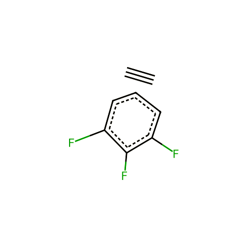 C#C.Fc1cccc(F)c1F